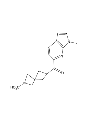 Cn1ccc2ccc(C(=O)C3CC4(C3)CN(C(=O)O)C4)nc21